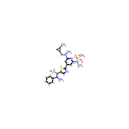 CC1CC1CN(C)c1cc(-c2ncc([C@H](C)C(N)c3ccccc3)s2)cc(N(C)S(C)(=O)=O)n1